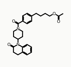 CC(=O)OCCCCc1ccc(C(=O)N2CCC(N3C(=O)CCc4ccccc43)CC2)cc1